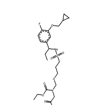 CCOC(=O)N(COCCCS(=O)(=O)NC(CC)c1ccc(F)c(OCC2CC2)c1)CC(=O)O